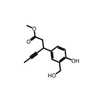 CC#CC(CC(=O)OC)c1ccc(O)c(CO)c1